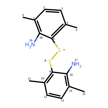 Cc1ccc(C)c(SSc2c(C)ccc(C)c2N)c1N